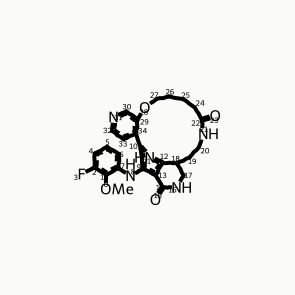 COc1c(F)cccc1Nc1c2[nH]c3c1C(=O)NCC3CCNC(=O)CCCCOc1cnccc1-2